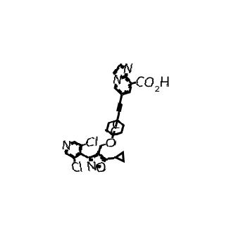 O=C(O)c1cc(C#CC23CCC(OCc4c(-c5c(Cl)cncc5Cl)noc4C4CC4)(CC2)CC3)cn2ccnc12